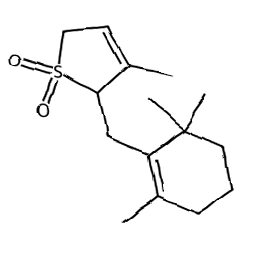 CC1=CCS(=O)(=O)C1CC1=C(C)CCCC1(C)C